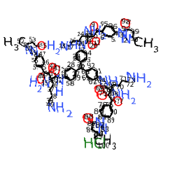 CC1=NN(c2ccc(C(=O)C(=O)[C@@](N)(CCCCN)C(=O)Nc3ccc(C(c4ccc(NC(=O)[C@](N)(CCCCN)C(=O)C(=O)c5ccc(N6N=C(C)CC6=O)cc5)cc4)c4ccc(NC(=O)[C@](N)(CCCCN)C(=O)C(=O)c5ccc(N6N=C(C)CC6=O)cc5)cc4)cc3)cc2)C(=O)C1.Cl